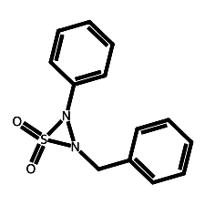 O=S1(=O)N(Cc2ccccc2)N1c1ccccc1